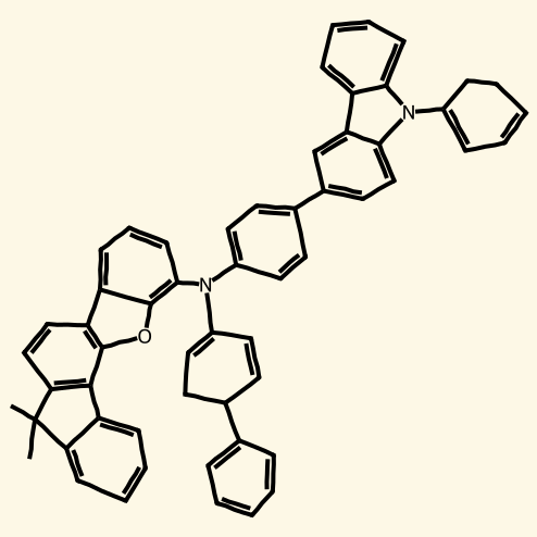 CC1(C)c2ccccc2-c2c1ccc1c2oc2c(N(C3=CCC(c4ccccc4)C=C3)c3ccc(-c4ccc5c(c4)c4ccccc4n5C4=CC=CCC4)cc3)cccc21